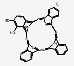 Oc1ccc2c3nc4nc(nc5[nH]c(nc6nc(nc([nH]3)c2c1O)-c1ccccc1-6)c1ccccc51)-c1ccccc1-4.[Au]